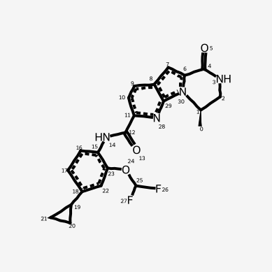 C[C@@H]1CNC(=O)c2cc3ccc(C(=O)Nc4ccc(C5CC5)cc4OC(F)F)nc3n21